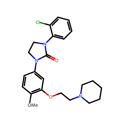 COc1ccc(N2CCN(c3ccccc3Cl)C2=O)cc1OCCN1CCCCC1